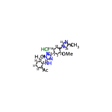 COc1cc(-c2nc(Nc3ccccc3C(C)=O)n(C)n2)ccc1-n1cnc(C)c1.Cl